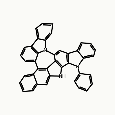 c1ccc(-n2c3ccccc3c3cc4c5c([nH]c6cc7ccccc7c(c7cccc8c9ccccc9n4c87)c65)c32)cc1